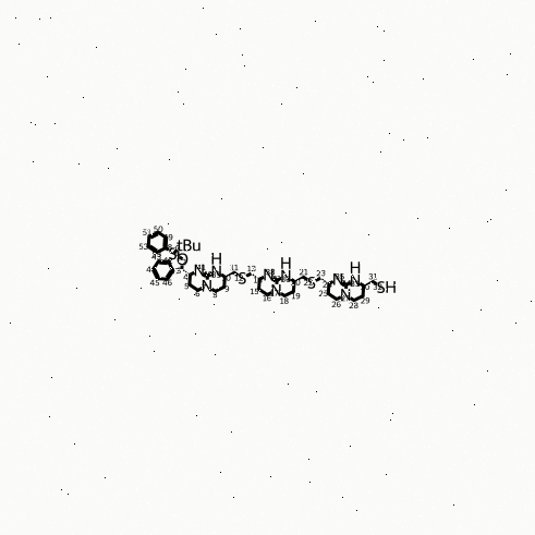 CC(C)(C)[Si](OC[C@H]1CCN2CC[C@H](CSC[C@H]3CCN4CC[C@H](CSC[C@H]5CCN6CC[C@H](CS)NC6=N5)NC4=N3)NC2=N1)(c1ccccc1)c1ccccc1